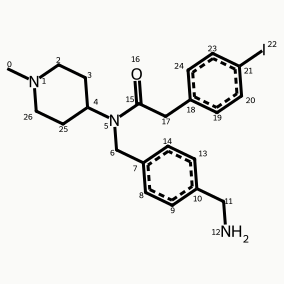 CN1CCC(N(Cc2ccc(CN)cc2)C(=O)Cc2ccc(I)cc2)CC1